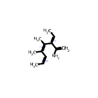 C=C(N)C(=C/C)/C(C)=C(C)\C=C/C